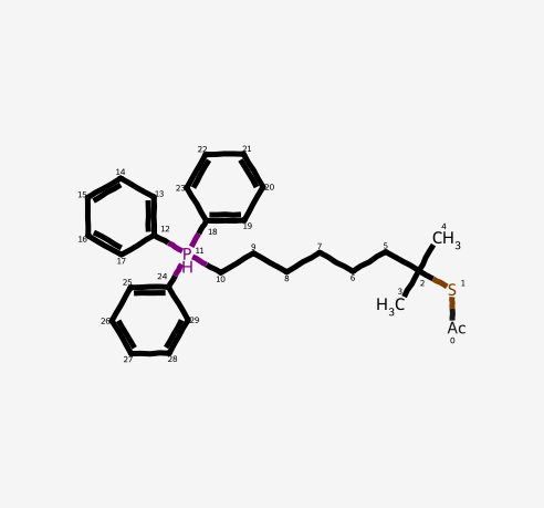 CC(=O)SC(C)(C)CCCCCC[PH](c1ccccc1)(c1ccccc1)c1ccccc1